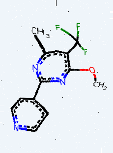 COc1nc(-c2ccncc2)nc(C)c1C(F)(F)F